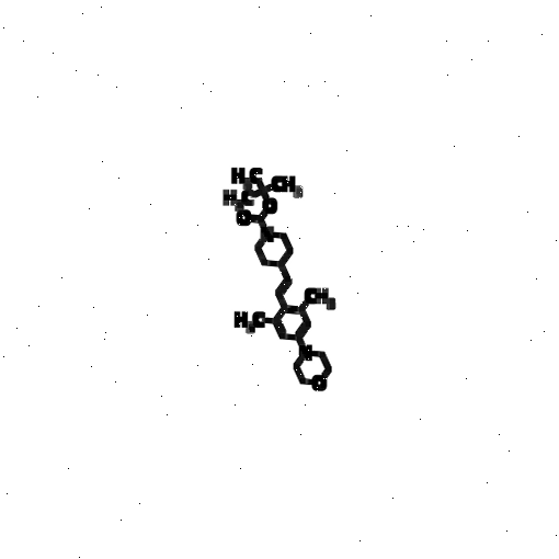 Cc1cc(N2CCOCC2)cc(C)c1/C=C/C1CCN(C(=O)OC(C)(C)C)CC1